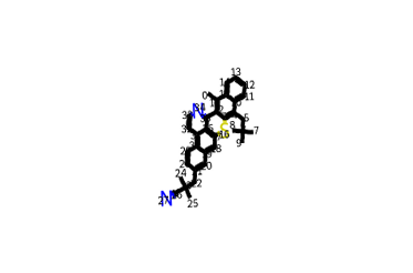 Cc1c2c(c(CC(C)(C)C)c3ccccc13)Sc1cc3cc(CC(C)(C)C#N)ccc3c3ccnc-2c13